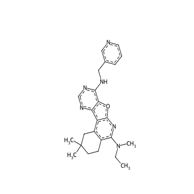 CCN(C)c1nc2oc3c(NCc4cccnc4)ncnc3c2c2c1CCC(C)(C)C2